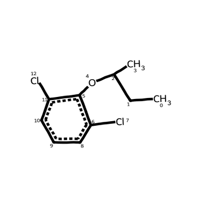 CCC(C)Oc1c(Cl)cccc1Cl